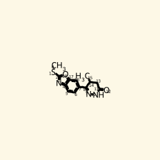 CSc1nc2ccc(C3=NNC(=O)CC3C)cc2o1